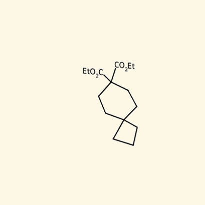 CCOC(=O)C1(C(=O)OCC)CCC2(CCC2)CC1